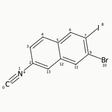 [C-]#[N+]c1ccc2cc(I)c(Br)cc2c1